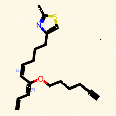 C#CCCCCOC(/C=C\CCCc1csc(C)n1)=C/C=C